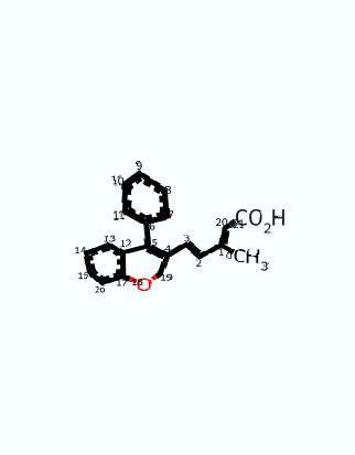 CC(C=CC1=C(c2ccccc2)c2ccccc2OC1)=CC(=O)O